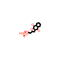 O=C1c2ccccc2C(=O)C2OC(C=COP(=O)(O)O)=CC12